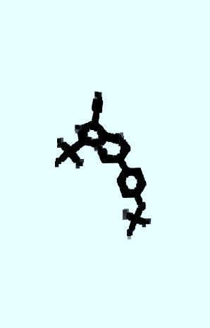 N#Cc1nc(C(F)(F)F)n2cc(-c3ccc(OC(F)(F)F)cc3)cnc12